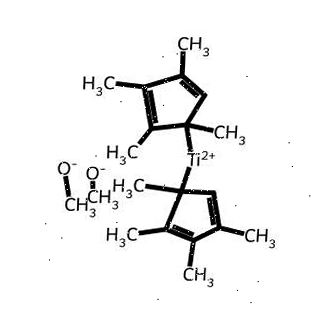 CC1=C[C](C)([Ti+2][C]2(C)C=C(C)C(C)=C2C)C(C)=C1C.C[O-].C[O-]